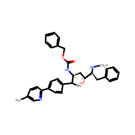 Cc1ccc(-c2ccc(C([C@H](C[C@@H](O)[C@H](Cc3ccccc3)NC(=O)O)NC(=O)OCc3ccccc3)C(C)(C)C)cc2)nc1